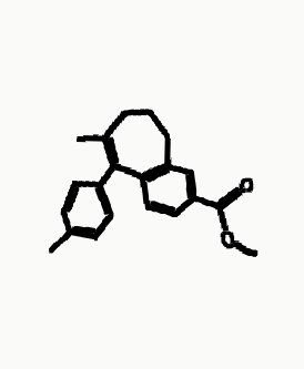 COC(=O)c1ccc2c(c1)CCCC(C)=C2c1ccc(C)cc1